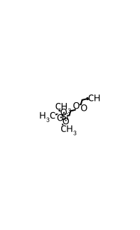 C#CCC(=O)OCCC[Si](OCC)(OCC)OCC